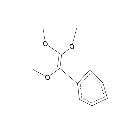 COC(OC)=C(OC)c1ccccc1